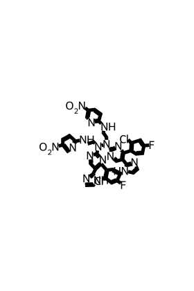 O=[N+]([O-])c1ccc(NCCN(c2ncc(-c3ncc[nH]3)c(-c3ccc(F)cc3Cl)n2)N(CCNc2ccc([N+](=O)[O-])cn2)c2ncc(-c3ncc[nH]3)c(-c3ccc(F)cc3Cl)n2)nc1